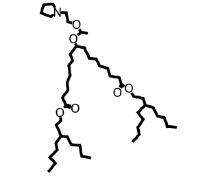 CCCCCC(CCCCC)CCOC(=O)CCCCCCCC(CCCCCCCC(=O)OCCC(CCCCC)CCCCC)OC(C)OCCN1CCCC1